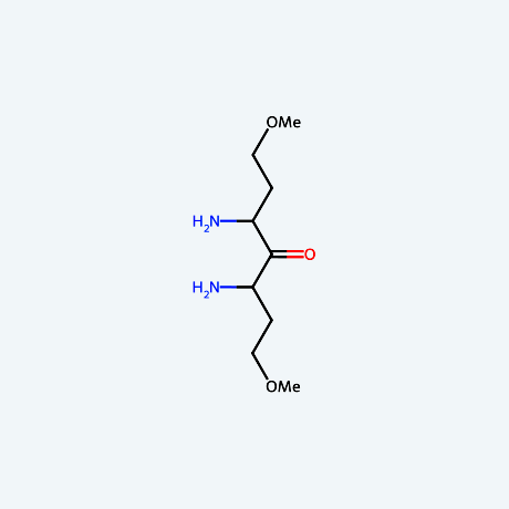 COCCC(N)C(=O)C(N)CCOC